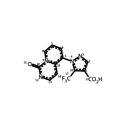 O=C(O)c1cnn(-c2cccn3c(=O)nccc23)c1C(F)(F)F